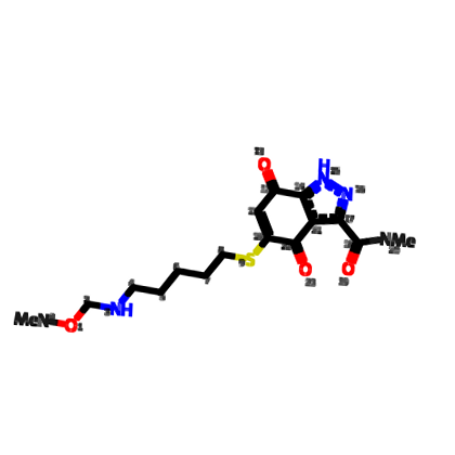 CNOCNCCCCCSC1=CC(=O)c2[nH]nc(C(=O)NC)c2C1=O